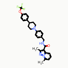 Cc1nn2c(C)cccc2c1C(=O)NCc1ccc(N2CCC(c3ccc(OC(F)(F)F)cc3)CC2)cc1